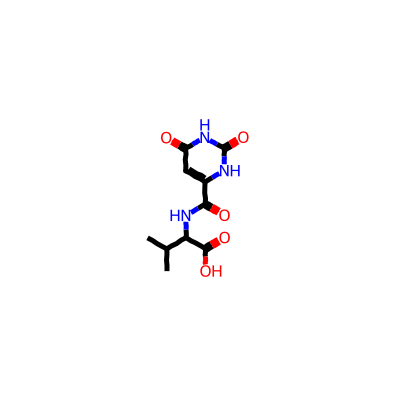 CC(C)C(NC(=O)c1cc(=O)[nH]c(=O)[nH]1)C(=O)O